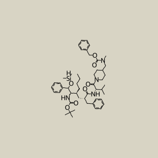 CCCC[C@@H](C[C@@H](Cc1ccccc1)C(=O)N[C@H](C(=O)N1CCC(CN(C)C(=O)OCc2ccccc2)CC1)C(C)C)[C@@H](NC(=O)OC(C)(C)C)C(O[SiH](C)C)c1ccccc1